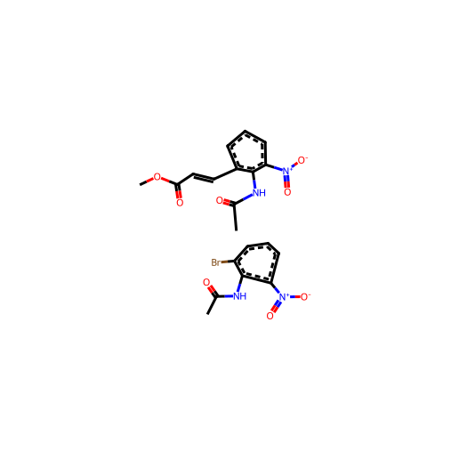 CC(=O)Nc1c(Br)cccc1[N+](=O)[O-].COC(=O)/C=C/c1cccc([N+](=O)[O-])c1NC(C)=O